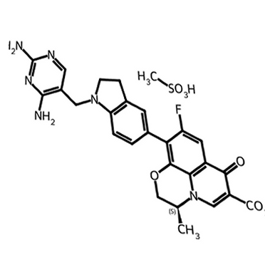 CCOC(=O)c1cn2c3c(c(-c4ccc5c(c4)CCN5Cc4cnc(N)nc4N)c(F)cc3c1=O)OC[C@@H]2C.CS(=O)(=O)O